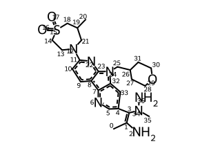 C/C(N)=C(\c1cnc2c3ccc(N4CCS(=O)(=O)CC(C)C4)nc3n(CC3CCOCC3)c2c1)N(C)N